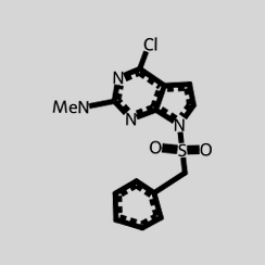 CNc1nc(Cl)c2ccn(S(=O)(=O)Cc3ccccc3)c2n1